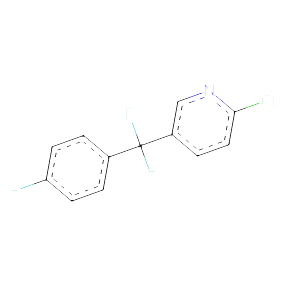 Fc1ccc(C(F)(F)c2ccc(Cl)nc2)cc1